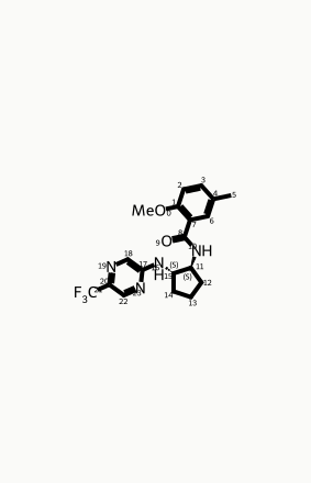 COc1ccc(C)cc1C(=O)N[C@H]1CCC[C@@H]1Nc1cnc(C(F)(F)F)cn1